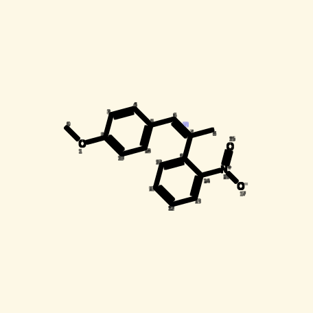 COc1ccc(/C=C(/C)c2ccccc2[N+](=O)[O-])cc1